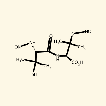 CC(C)(S)[C@H](NN=O)C(=O)N[C@H](C(=O)O)C(C)(C)SN=O